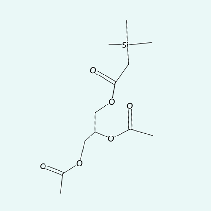 CC(=O)OCC(COC(=O)C[Si](C)(C)C)OC(C)=O